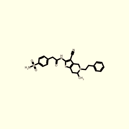 CC1Cc2sc(NC(=O)Cc3ccc(S(N)(=O)=O)cc3)c(C#N)c2CN1CCc1ccccc1